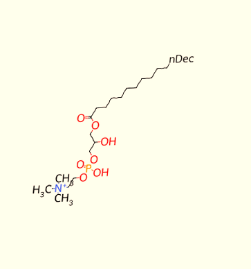 CCCCCCCCCCCCCCCCCCCCC(=O)OCC(O)COP(=O)(O)OCC[N+](C)(C)C